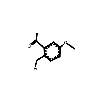 COc1ccc(CBr)c(C(C)=O)c1